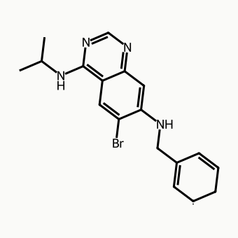 CC(C)Nc1ncnc2cc(NCC3=C[CH]CC=C3)c(Br)cc12